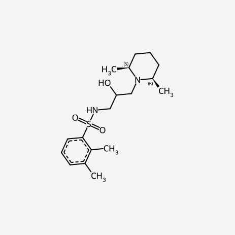 Cc1cccc(S(=O)(=O)NCC(O)CN2[C@H](C)CCC[C@@H]2C)c1C